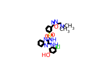 CN(C)Cc1nnc(-c2cccc(S(=O)(=O)Nc3nc4ccccc4nc3Nc3cc(O)ccc3Cl)c2)o1